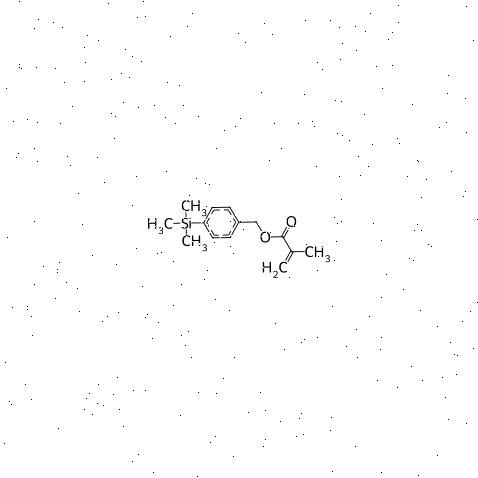 C=C(C)C(=O)OCc1ccc([Si](C)(C)C)cc1